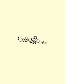 CC(=O)CCc1ccc2c(c1)COc1ccc(OCc3ccc4cc(F)c(Cl)cc4n3)cc1C2O